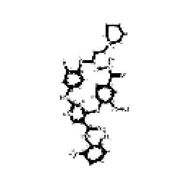 CCOc1cc(C(=O)N(CC)CC)ccc1Oc1nc(Nc2ccc(OCCCN3CCCCC3)c(F)c2)ncc1C(=O)Nc1c(C)cccc1C